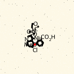 COc1cccc(C(=O)O)c1Nc1c(S(=O)(=O)N2CCOCC2)cnc2ccc(Cl)cc12